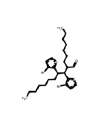 CCCCCCCC(C=O)C(c1sccc1Br)C(CCCCCCC)c1sccc1Br